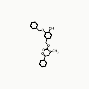 CN(CC(=O)c1ccccc1)C(=O)OCc1ccc(O)c(OCc2ccccc2)c1